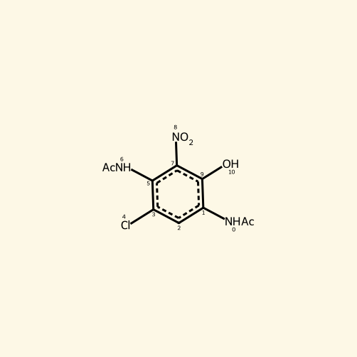 CC(=O)Nc1cc(Cl)c(NC(C)=O)c([N+](=O)[O-])c1O